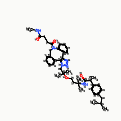 CNC(=O)CCC(=O)N1Cc2ccccc2-c2c(nnn2CC(C)(C)OCCC(C)(C)NC(=O)C(C)c2ccc(CC(C)C)cc2)-c2ccccc21